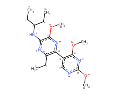 CCc1nc(NC(CC)CC)c(OC)nc1-c1cnc(OC)nc1OC